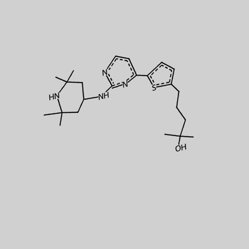 CC(C)(O)CCCc1ccc(-c2ccnc(NC3CC(C)(C)NC(C)(C)C3)n2)s1